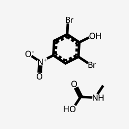 CNC(=O)O.O=[N+]([O-])c1cc(Br)c(O)c(Br)c1